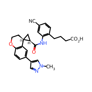 Cn1cc(-c2ccc3c(c2)[C@]2(CCO3)C[C@H]2C(=O)Nc2cc(C#N)ccc2CCCC(=O)O)cn1